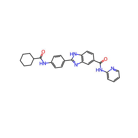 O=C(Nc1ccccn1)c1ccc2[nH]c(-c3ccc(NC(=O)C4CCCCC4)cc3)nc2c1